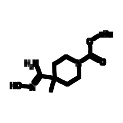 CCCCOC(=O)N1CCC(C)(C(N)=NO)CC1